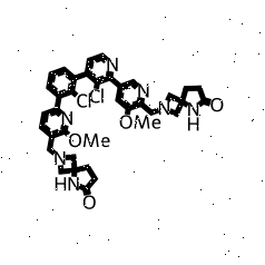 COc1cc(-c2nccc(-c3cccc(-c4ccc(CN5CC6(CCC(=O)N6)C5)c(OC)n4)c3Cl)c2Cl)cnc1CN1CC2(CCC(=O)N2)C1